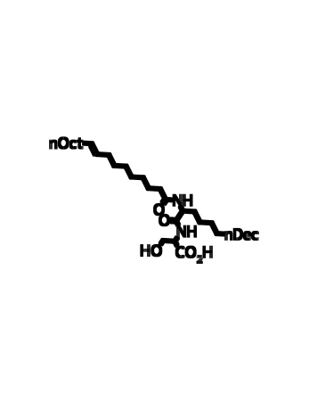 CCCCCCCCC=CCCCCCCCC(=O)NC(CCCCCCCCCCCCCC)C(=O)NC(CO)C(=O)O